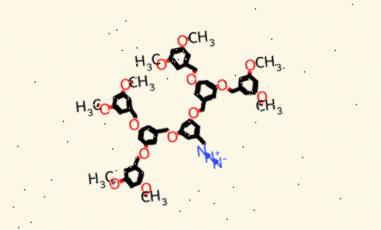 COc1cc(COc2cc(COc3cc(CN=[N+]=[N-])cc(OCc4cc(OCc5cc(OC)cc(OC)c5)cc(OCc5cc(OC)cc(OC)c5)c4)c3)cc(OCc3cc(OC)cc(OC)c3)c2)cc(OC)c1